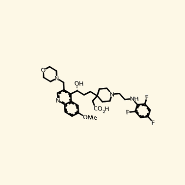 COc1ccc2ncc(CN3CCOCC3)c([C@H](O)CCC3(CC(=O)O)CCN(CCNc4c(F)cc(F)cc4F)CC3)c2c1